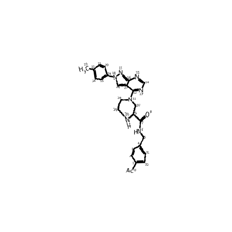 CC(=O)c1ccc(CNC(=O)C2CN(c3ncnc4nn(-c5ccc(C)cc5)cc34)CCN2)cc1